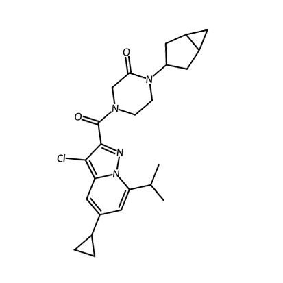 CC(C)c1cc(C2CC2)cc2c(Cl)c(C(=O)N3CCN(C4CC5CC5C4)C(=O)C3)nn12